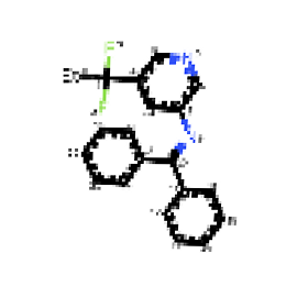 CCC(F)(F)c1cncc(N=C(c2ccccc2)c2ccccc2)c1